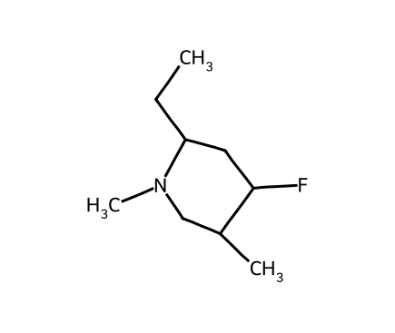 CCC1CC(F)C(C)CN1C